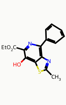 CCOC(=O)c1nc(-c2ccccc2)c2nc(C)sc2c1O